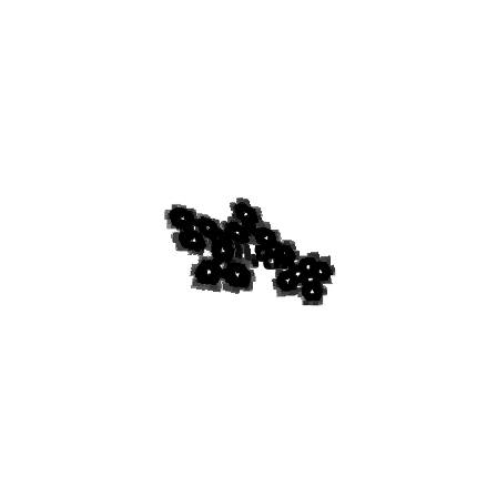 CC1(C)c2cc(-c3c4ccccc4c(-c4ccccc4-c4ccccc4)c4ccccc34)ccc2-c2ccc(N(c3ccccc3)c3ccc(-n4c5ccc(-c6ccccc6-c6ccccc6)cc5c5cc(-c6ccccc6-c6ccccc6)ccc54)cc3)cc21